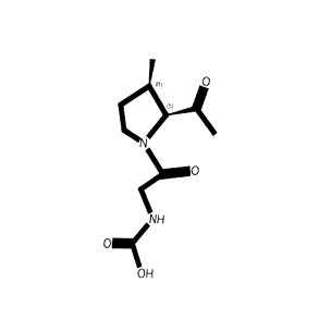 CC(=O)[C@@H]1[C@H](C)CCN1C(=O)CNC(=O)O